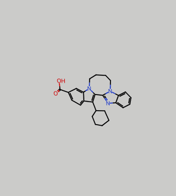 O=C(O)c1ccc2c(C3CCCCC3)c3n(c2c1)CCCCn1c-3nc2ccccc21